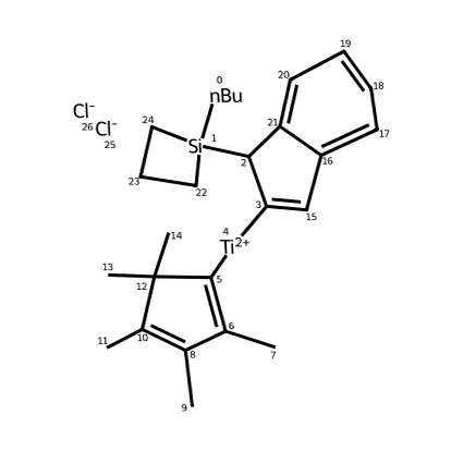 CCCC[Si]1(C2[C]([Ti+2][C]3=C(C)C(C)=C(C)C3(C)C)=Cc3ccccc32)CCC1.[Cl-].[Cl-]